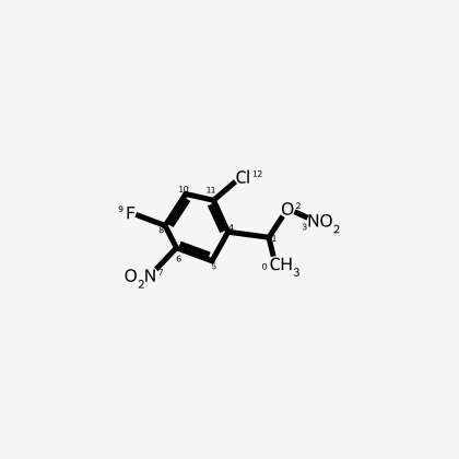 CC(O[N+](=O)[O-])c1cc([N+](=O)[O-])c(F)cc1Cl